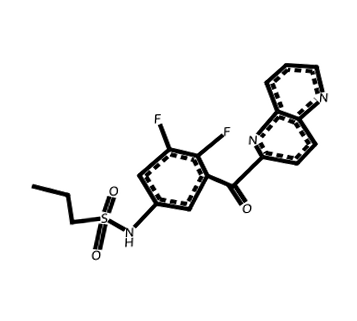 CCCS(=O)(=O)Nc1cc(F)c(F)c(C(=O)c2ccc3ncccc3n2)c1